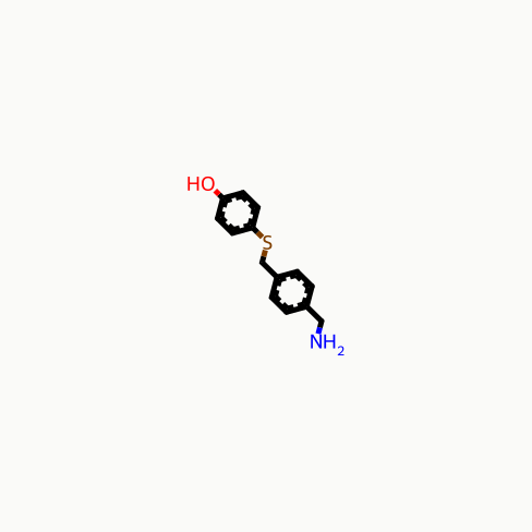 NCc1ccc(CSc2ccc(O)cc2)cc1